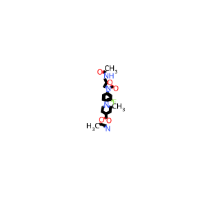 CC(=O)NCC1CN(c2ccc(N3CCC(C(=O)OC(C)C#N)CC3C)c(F)c2)C(=O)O1